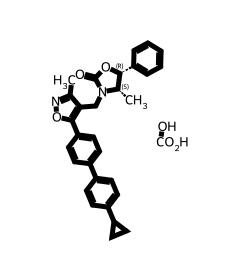 Cc1noc(-c2ccc(-c3ccc(C4CC4)cc3)cc2)c1CN1C(=O)O[C@H](c2ccccc2)[C@@H]1C.O=C(O)O